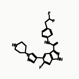 C=C(Nc1ccc(CC(F)F)cc1)c1n[nH]c2cc(F)c(-c3cnn(C4CCNCC4)c3)cc12